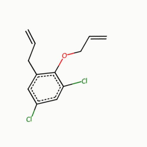 C=CCOc1c(Cl)cc(Cl)cc1CC=C